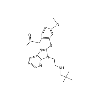 COc1ccc(CC(C)=O)c(Sc2nc3cncnc3n2CCNCC(C)(C)C)c1